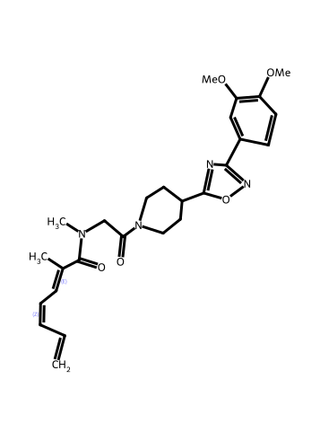 C=C/C=C\C=C(/C)C(=O)N(C)CC(=O)N1CCC(c2nc(-c3ccc(OC)c(OC)c3)no2)CC1